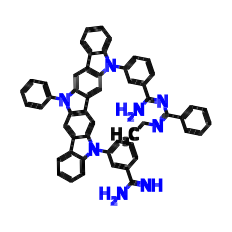 CC/N=C(\N=C(/N)c1cccc(-n2c3ccccc3c3cc4c(cc32)c2cc3c(cc2n4-c2ccccc2)c2ccccc2n3-c2cccc(C(=N)N)c2)c1)c1ccccc1